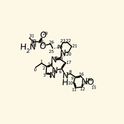 CCc1cnn2c(NCc3ccc[n+](OC)c3)cc(N3CCCC[C@H]3CCOC(=O)[C@H](C)N)nc12